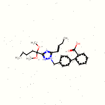 CC/C=C/c1nc(C(CCCC)(OC)OC)nn1Cc1ccc(-c2ccccc2C(=O)O)cc1